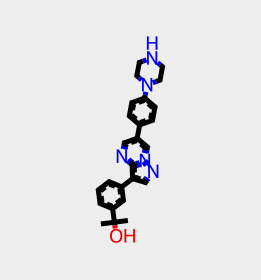 CC(C)(O)c1cccc(-c2cnn3cc(-c4ccc(N5CCNCC5)cc4)cnc23)c1